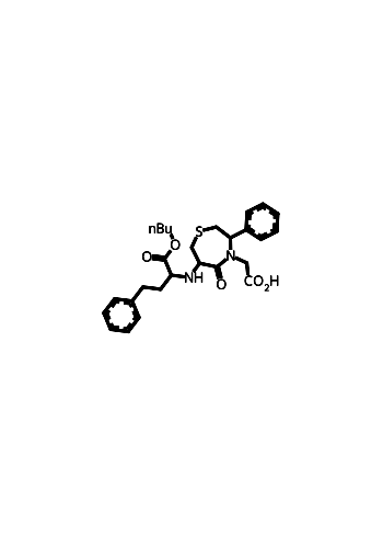 CCCCOC(=O)C(CCc1ccccc1)NC1CSCC(c2ccccc2)N(CC(=O)O)C1=O